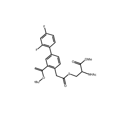 C=C(OC(C)(C)C)c1cc(-c2ccc(F)cc2F)ccc1CC(=O)SCC(NC(C)=O)C(=O)OC